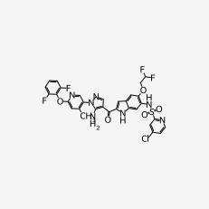 Cc1cc(Oc2c(F)cccc2F)ncc1-n1ncc(C(=O)c2cc3cc(OCC(F)F)c(NS(=O)(=O)c4cc(Cl)ccn4)cc3[nH]2)c1N